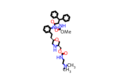 COC(=O)N[C@H](C(=O)Nc1ccccc1CC[C@@H]1CN[C@H](COC(=O)NCCN(C)C)CO1)C(c1ccccc1)c1ccccc1